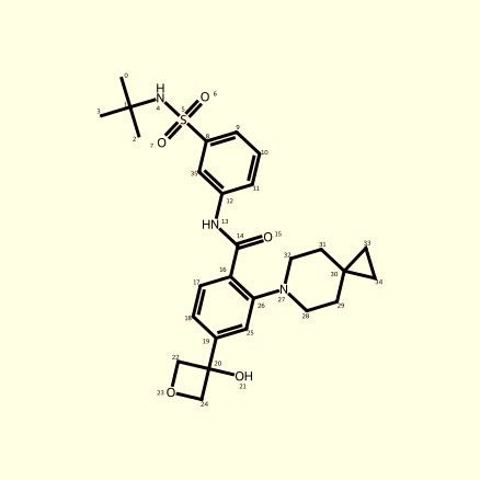 CC(C)(C)NS(=O)(=O)c1cccc(NC(=O)c2ccc(C3(O)COC3)cc2N2CCC3(CC2)CC3)c1